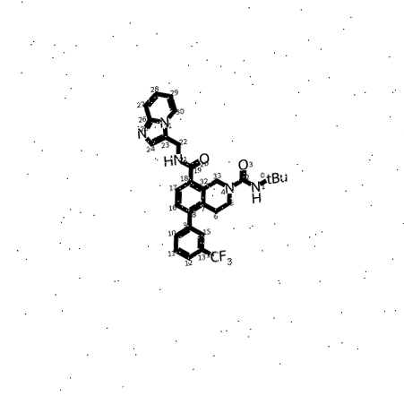 CC(C)(C)NC(=O)N1CCc2c(-c3cccc(C(F)(F)F)c3)ccc(C(=O)NCc3cnc4ccccn34)c2C1